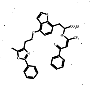 CCOC(=O)C(Cc1ccc(OCCc2nc(-c3ccccc3)oc2C)c2ccsc12)N/C(=C\C(=O)c1ccccc1)C(F)(F)F